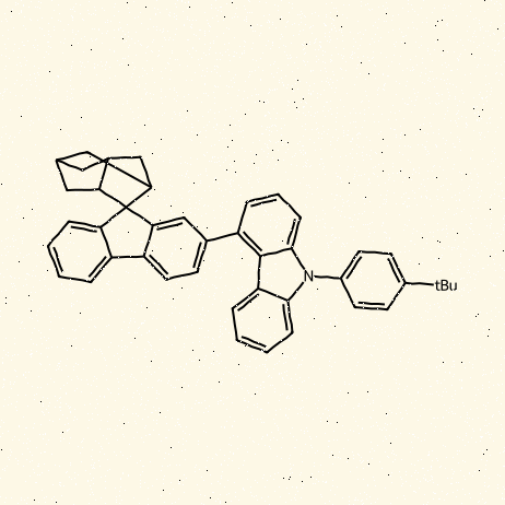 CC(C)(C)c1ccc(-n2c3ccccc3c3c(-c4ccc5c(c4)C4(c6ccccc6-5)C5CC6CC(C5)C4C6)cccc32)cc1